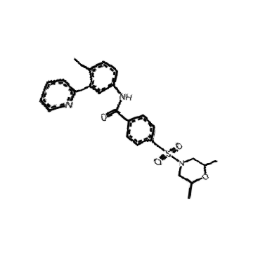 Cc1ccc(NC(=O)c2ccc(S(=O)(=O)N3CC(C)OC(C)C3)cc2)cc1-c1ccccn1